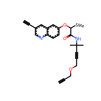 C#CCOCC#CC(C)(C)NC(=O)C(Oc1ccc2ncc(C#C)cc2c1)SC